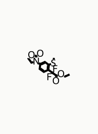 CCOC(=O)C(F)(F)c1ccc(N2CCOC2=O)cc1SC